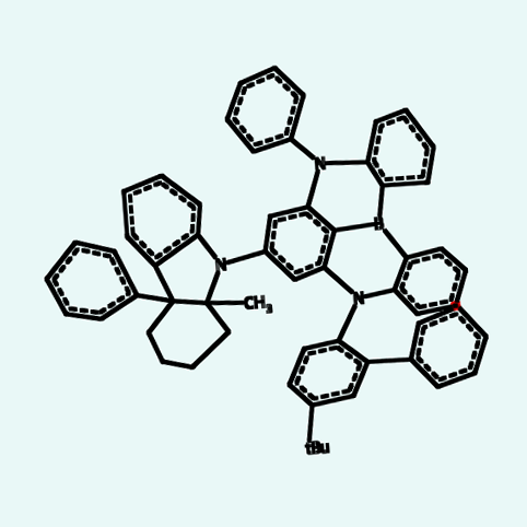 CC(C)(C)c1ccc(N2c3ccccc3B3c4ccccc4N(c4ccccc4)c4cc(N5c6ccccc6C6(c7ccccc7)CCCCC56C)cc2c43)c(-c2ccccc2)c1